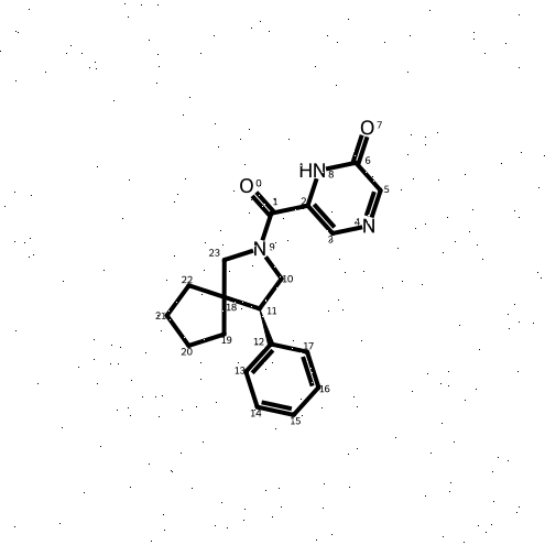 O=C(c1cncc(=O)[nH]1)N1C[C@@H](c2ccccc2)C2(CCCC2)C1